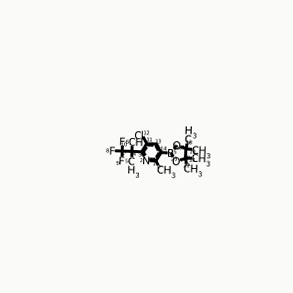 Cc1nc(C(C)(C)C(F)(F)F)c(Cl)cc1B1OC(C)(C)C(C)(C)O1